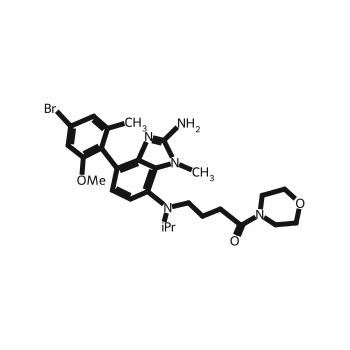 COc1cc(Br)cc(C)c1-c1ccc(N(CCCC(=O)N2CCOCC2)C(C)C)c2c1nc(N)n2C